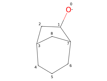 [O]C1CC2CCCC1C2